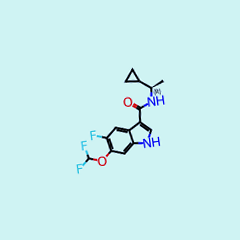 C[C@@H](NC(=O)c1c[nH]c2cc(OC(F)F)c(F)cc12)C1CC1